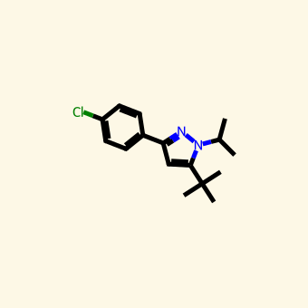 CC(C)n1nc(-c2ccc(Cl)cc2)cc1C(C)(C)C